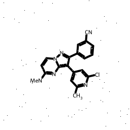 CNc1ccn2nc(-c3cccc(C#N)c3)c(-c3cc(C)nc(Cl)c3)c2n1